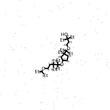 CCC(CC)OCCC(CC)(CC)C(CC)(CC)OC1CCC(CC)(C(CC)(CC)OCCC(O)(CC)CC)C1